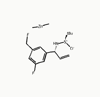 C=C[C@@H](N[S@+]([O-])C(C)(C)C)c1cc(F)cc(CF)c1.[CH3][Zn][CH3]